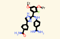 CCOc1cc(OC(C)C)c(F)c(C(Nc2ccc(C(=N)N)cc2)c2nc(-c3ccc(C(N)=O)cc3)c[nH]2)c1